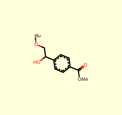 CCC(C)OCC(O)c1ccc(C(=O)OC)cc1